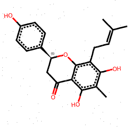 CC(C)=CCc1c(O)c(C)c(O)c2c1O[C@H](c1ccc(O)cc1)CC2=O